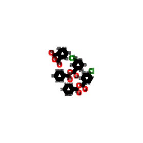 O=C(OC(=O)c1ccc(Cl)cc1)c1ccccc1.O=C(OC(=O)c1cccc(Cl)c1)c1ccccc1.O=C1OC(=O)c2ccccc21